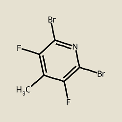 Cc1c(F)c(Br)nc(Br)c1F